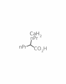 CCCC(CCC)C(=O)O.[CaH2]